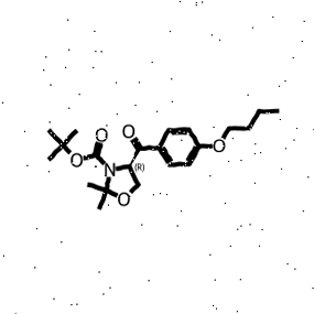 CCCCOc1ccc(C(=O)[C@H]2COC(C)(C)N2C(=O)OC(C)(C)C)cc1